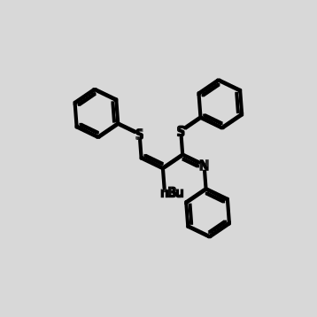 CCCCC(=CSc1ccccc1)C(=Nc1ccccc1)Sc1ccccc1